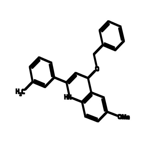 COc1ccc2c(c1)C(OCc1ccccc1)C=C(c1cccc(C)c1)N2